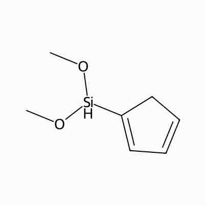 CO[SiH](OC)C1=CC=CC1